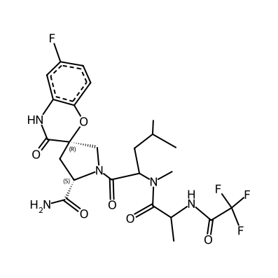 CC(C)CC(C(=O)N1C[C@@]2(C[C@H]1C(N)=O)Oc1ccc(F)cc1NC2=O)N(C)C(=O)C(C)NC(=O)C(F)(F)F